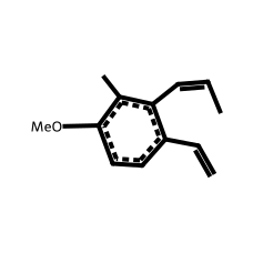 C=Cc1ccc(OC)c(C)c1/C=C\C